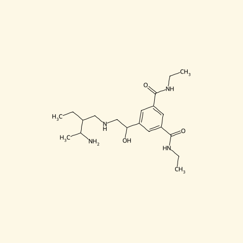 CCNC(=O)c1cc(C(=O)NCC)cc(C(O)CNCC(CC)C(C)N)c1